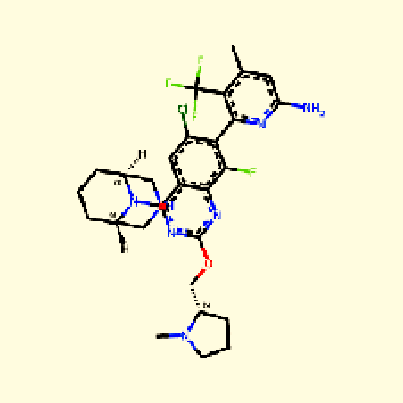 Cc1cc(N)nc(-c2c(Cl)cc3c(N4[C@H]5CCC[C@H]4CNC5)nc(OC[C@@H]4CCCN4C)nc3c2F)c1C(F)(F)F